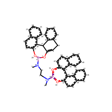 CN(CCN(C)[P@]1OC2=CCc3ccccc3C2c2c(ccc3ccccc23)O1)p1oc2ccc3ccccc3c2c2c(ccc3ccccc32)o1